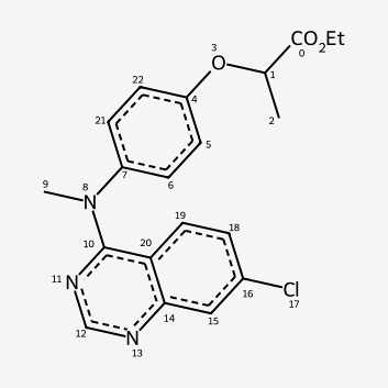 CCOC(=O)C(C)Oc1ccc(N(C)c2ncnc3cc(Cl)ccc23)cc1